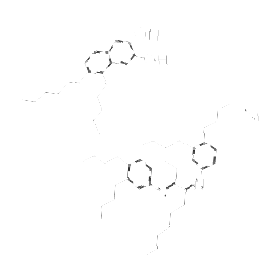 CCCCCCC(=Nc1ccc(CCCC)c(CCCC)c1)C(CC)=Nc1ccc(CCCC)c(CCCC)c1.CCCCCCc1ccc2cc(O)c(O)cc2c1CCCCC.[Ni]